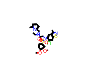 CCN(Cc1cccc(C)n1)C(=O)CN(c1cc2c(C)nsc2cc1Cl)S(=O)(=O)c1ccc(OC)c(OC)c1